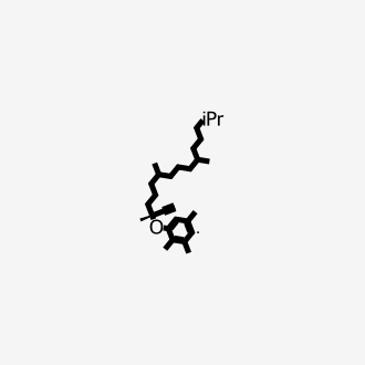 C#C[C@@](C)(CCCC(C)CCCC(C)CCCC(C)C)Oc1cc(C)[c]c(C)c1C